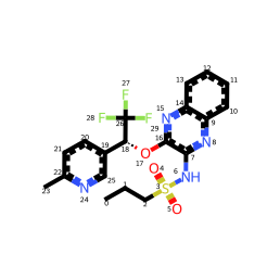 CCCS(=O)(=O)Nc1nc2ccccc2nc1O[C@H](c1ccc(C)nc1)C(F)(F)F